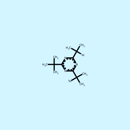 [2H]C(C)(C)c1nc(C([2H])(C)C)nc(C(C)(C)C)n1